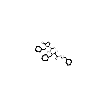 O=C(NCCc1ccccc1)C(=O)C(Cc1ccccc1)NC(=O)[C@@H]1CCC(=O)N1Cc1ccccc1